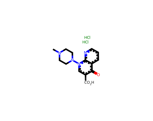 CN1CCN(n2cc(C(=O)O)c(=O)c3cccnc32)CC1.Cl.Cl